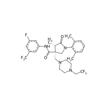 Cc1cccc(C)c1N1C[C@@](CN2CCN(CC(F)(F)F)CC2)(C(=O)Nc2cc(F)cc(C(F)(F)F)c2)[C@H](C)C1=O